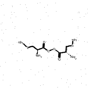 CCCSC[C@H](N)C(=O)OOC(=O)[C@@H](N)CSCCC